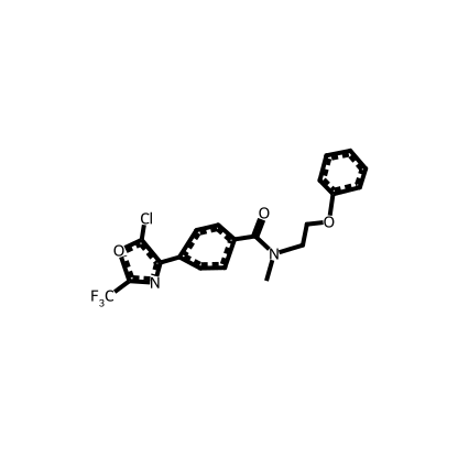 CN(CCOc1ccccc1)C(=O)c1ccc(-c2nc(C(F)(F)F)oc2Cl)cc1